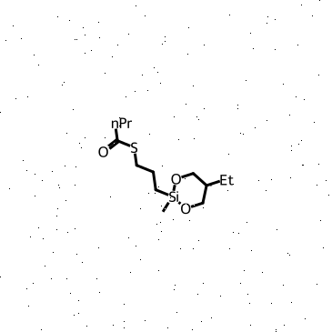 CCCC(=O)SCCC[Si]1(C)OC[C](CC)CO1